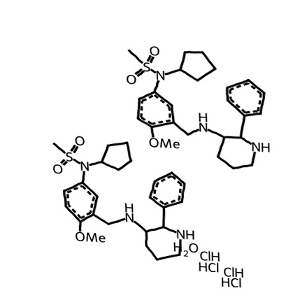 COc1ccc(N(C2CCCC2)S(C)(=O)=O)cc1CNC1CCCNC1c1ccccc1.COc1ccc(N(C2CCCC2)S(C)(=O)=O)cc1CNC1CCCNC1c1ccccc1.Cl.Cl.Cl.Cl.O